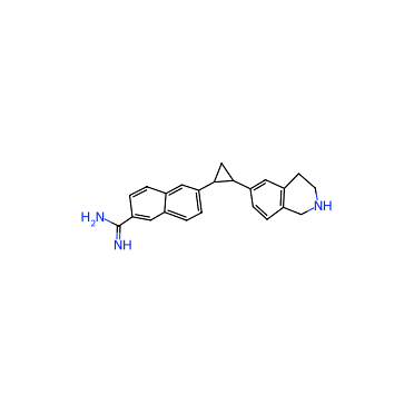 N=C(N)c1ccc2cc(C3CC3c3ccc4c(c3)CCNC4)ccc2c1